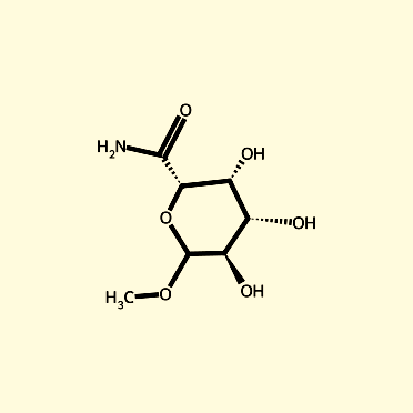 COC1O[C@H](C(N)=O)[C@H](O)[C@H](O)[C@H]1O